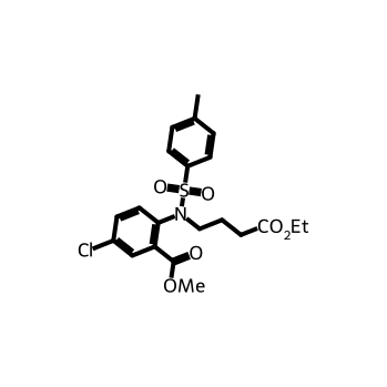 CCOC(=O)CCCN(c1ccc(Cl)cc1C(=O)OC)S(=O)(=O)c1ccc(C)cc1